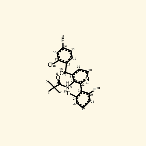 CC(C)(C)C(=O)Nc1c(C(=O)c2ccc(F)cc2Cl)ccnc1-c1c(F)cccc1F